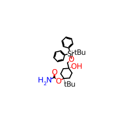 CC(C)(C)[Si](OC[C@]1(O)CC[C@@](OC(N)=O)(C(C)(C)C)CC1)(c1ccccc1)c1ccccc1